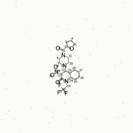 O=C(c1ccco1)N1CCN(c2c([N+](=O)[O-])c(=O)n(CC(F)(F)F)c3ccccc23)CC1